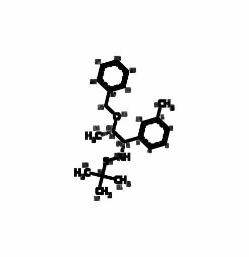 Cc1cccc([C@H](NSC(C)(C)C)[C@H](C)OCc2ccccc2)c1